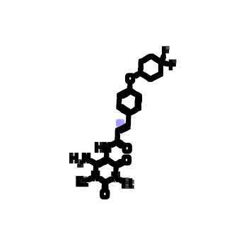 CCn1c(N)c(NC(=O)/C=C/c2ccc(OC3CCC(F)(F)CC3)cc2)c(=O)n(CC)c1=O